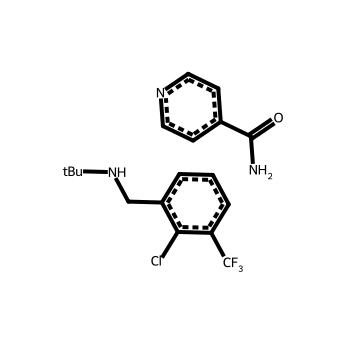 CC(C)(C)NCc1cccc(C(F)(F)F)c1Cl.NC(=O)c1ccncc1